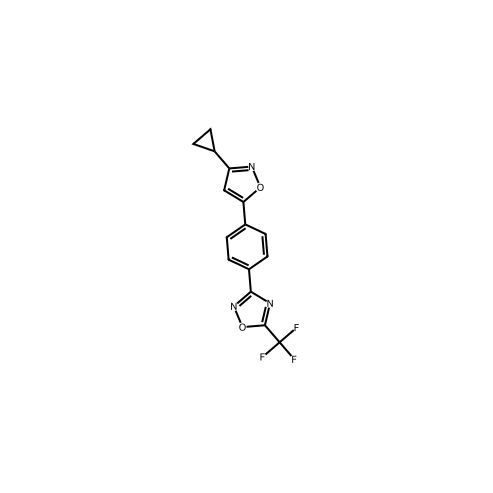 FC(F)(F)c1nc(-c2ccc(-c3cc(C4CC4)no3)cc2)no1